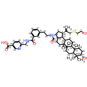 C=C(CSCCO)[C@@H]1CC[C@]2(C(=O)NCCc3cccc(C(=O)NCc4ccc(C(=O)O)cn4)c3)CC[C@]3(C)C(CCC4[C@@]5(C)CC[C@H](O)C(C)(C)C5CC[C@]43C)C12